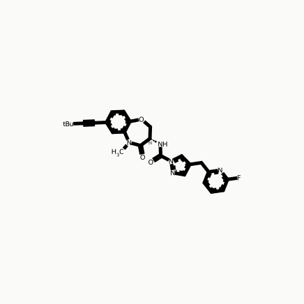 CN1C(=O)[C@@H](NC(=O)n2cc(Cc3cccc(F)n3)cn2)COc2ccc(C#CC(C)(C)C)cc21